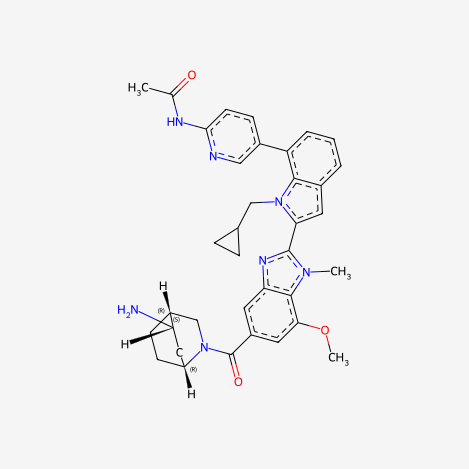 COc1cc(C(=O)N2C[C@H]3CC[C@@H]2C[C@@H]3N)cc2nc(-c3cc4cccc(-c5ccc(NC(C)=O)nc5)c4n3CC3CC3)n(C)c12